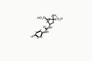 NC1(C(=O)O)CC(NC(=O)Nc2ccc(F)cc2)C2C(C(=O)O)C21